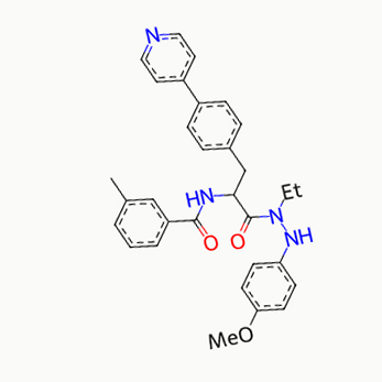 CCN(Nc1ccc(OC)cc1)C(=O)C(Cc1ccc(-c2ccncc2)cc1)NC(=O)c1cccc(C)c1